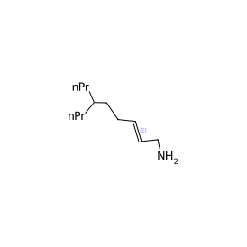 CCCC(CCC)CC/C=C/CN